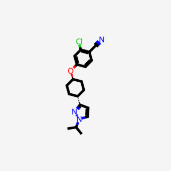 CC(C)n1ccc([C@H]2CC[C@H](Oc3ccc(C#N)c(Cl)c3)CC2)n1